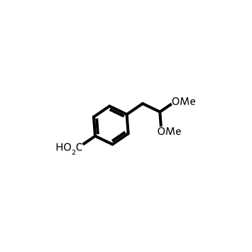 COC(Cc1ccc(C(=O)O)cc1)OC